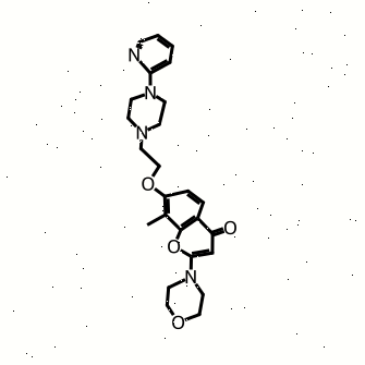 Cc1c(OCCN2CCN(c3ccccn3)CC2)ccc2c(=O)cc(N3CCOCC3)oc12